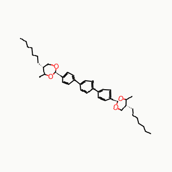 CCCCCCC[C@@H]1CO[C@@H](c2ccc(-c3ccc(-c4ccc([C@@H]5OC[C@@H](CCCCCCC)C(C)O5)cc4)cc3)cc2)OC1C